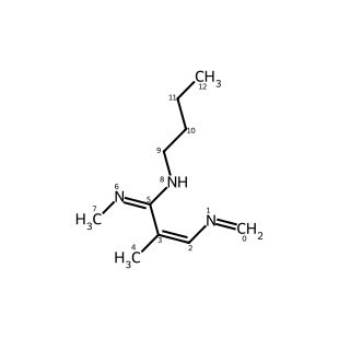 C=N/C=C(C)\C(=N/C)NCCCC